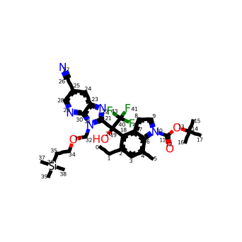 CCc1cc(C)c2c(ccn2C(=O)OC(C)(C)C)c1C(O)(c1nc2cc(C#N)cnc2n1COCC[Si](C)(C)C)C(F)(F)F